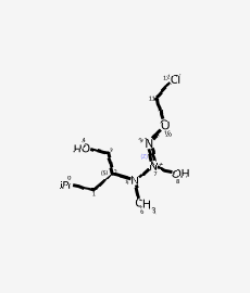 CC(C)C[C@@H](CO)N(C)/[N+](O)=N/OCCl